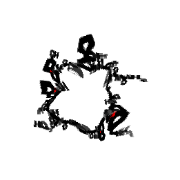 CCCC[C@H]1C(=O)N(C)CC(=O)N[C@@H](CC(=O)O)C(=O)N[C@@H](C(C)C)C(=O)N(C)[C@@H](Cc2ccccc2)C(=O)N[C@@H](Cc2ccc(O)cc2)C(=O)N(C)CC(=O)N[C@@H](Cc2c[nH]c3ccccc23)C(=O)NN[C@@H](CC(C)C)C(=O)N[C@H](C(=O)NCC(N)=O)CSCC(=O)N[C@@H](Cc2ccc(CN)cc2)C(=O)N(C)[C@@H](Cc2ccccc2)C(=O)N1C